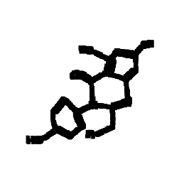 CC(C)Cc1nc2cc(O)cc(O)c2c(=O)n1-c1ccc(O)cc1